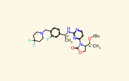 C[C@H](Nc1nccc(N2C(=O)OCC2[C@@H](C)OC(C)(C)C)n1)c1ccc(CN2CCC(F)(F)CC2)c(F)c1